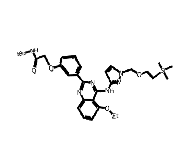 CCOc1cccc2nc(-c3cccc(OCC(=O)NC(C)(C)C)c3)nc(Nc3ccn(COCC[Si](C)(C)C)n3)c12